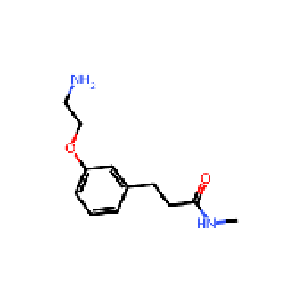 CNC(=O)CCc1cccc(OCCN)c1